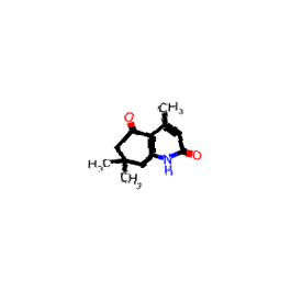 Cc1cc(=O)[nH]c2c1C(=O)CC(C)(C)C2